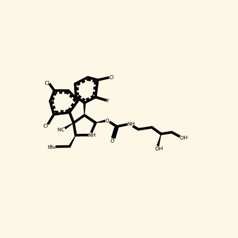 CC(C)(C)C[C@@H]1N[C@H](OC(=O)NCC[C@H](O)CO)[C@H](c2cccc(Cl)c2F)[C@@]1(C#N)c1ccc(Cl)cc1Cl